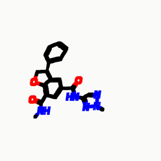 CNC(=O)c1cc(C(=O)Nc2cnn(C)n2)cc2c1OC[C@H]2c1ccccc1